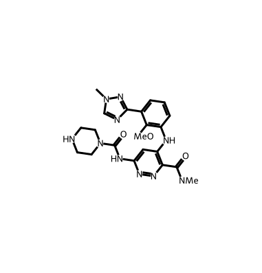 CNC(=O)c1nnc(NC(=O)N2CCNCC2)cc1Nc1cccc(-c2ncn(C)n2)c1OC